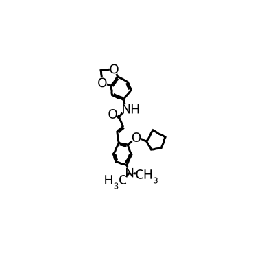 CN(C)c1ccc(C=CC(=O)Nc2ccc3c(c2)OCO3)c(OC2CCCC2)c1